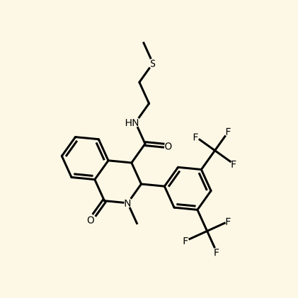 CSCCNC(=O)C1c2ccccc2C(=O)N(C)C1c1cc(C(F)(F)F)cc(C(F)(F)F)c1